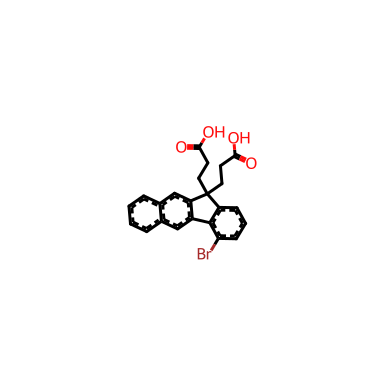 O=C(O)CCC1(CCC(=O)O)c2cc3ccccc3cc2-c2c(Br)cccc21